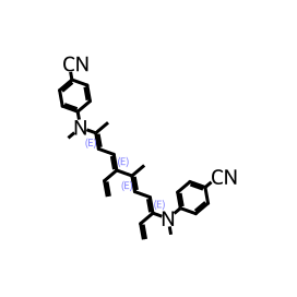 C=CC(=C\C=C(/C)N(C)c1ccc(C#N)cc1)/C(C)=C/C=C(\C=C)N(C)c1ccc(C#N)cc1